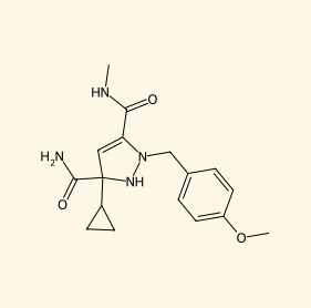 CNC(=O)C1=CC(C(N)=O)(C2CC2)NN1Cc1ccc(OC)cc1